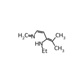 C=N/C=C\C(NCC)=C(C)C